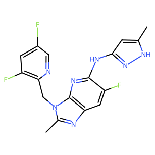 Cc1cc(Nc2nc3c(cc2F)nc(C)n3Cc2ncc(F)cc2F)n[nH]1